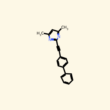 Cc1cc(C)nc(C#Cc2ccc(-c3ccccc3)cc2)n1